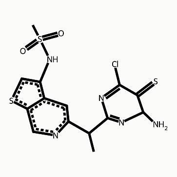 CC(C1=NC(N)C(=S)C(Cl)=N1)c1cc2c(NS(C)(=O)=O)csc2cn1